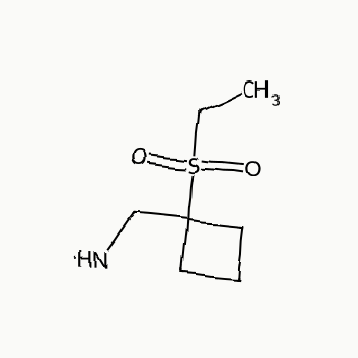 CCS(=O)(=O)C1(C[NH])CCC1